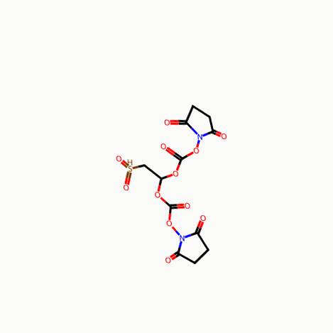 O=C(OC(C[SH](=O)=O)OC(=O)ON1C(=O)CCC1=O)ON1C(=O)CCC1=O